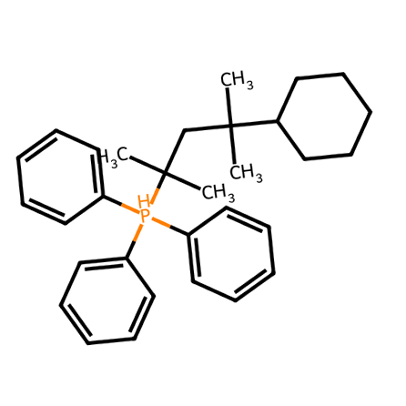 CC(C)(CC(C)(C)[PH](c1ccccc1)(c1ccccc1)c1ccccc1)C1CCCCC1